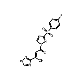 O=C(C=C(O)c1nc[nH]n1)n1ncc(S(=O)(=O)c2ccc(F)cc2)n1